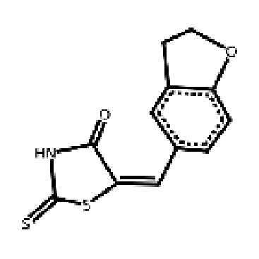 O=C1NC(=S)SC1=Cc1ccc2c(c1)CCO2